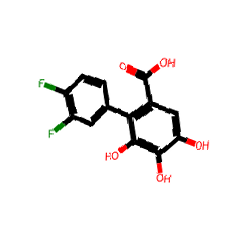 O=C(O)c1cc(O)c(O)c(O)c1-c1ccc(F)c(F)c1